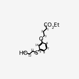 CCOC(=O)CCCOc1cccc(SCCO)c1